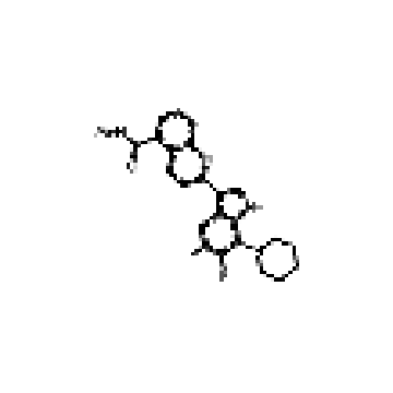 CNC(=O)c1cccc2nc(-c3c[nH]c4c(N5CCCCC5)c(F)c(F)cc34)ccc12